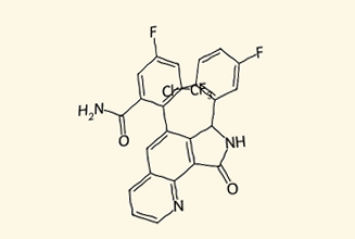 NC(=O)c1cc(F)cc(C(F)(F)F)c1-c1cc2cccnc2c2c1C(c1cc(F)ccc1Cl)NC2=O